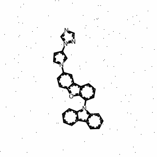 c1cc(-n2c3ccccc3c3ccccc32)c2oc3ccc(-n4ccc(-n5cncn5)c4)cc3c2c1